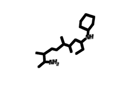 CCC(CC(C)C(C)CCC(C)C(C)N)NC1CCCCC1